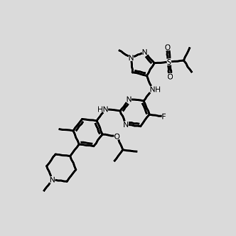 Cc1cc(Nc2ncc(F)c(Nc3cn(C)nc3S(=O)(=O)C(C)C)n2)c(OC(C)C)cc1C1CCN(C)CC1